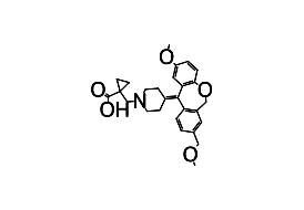 COCc1ccc2c(c1)COc1ccc(OC)cc1C2=C1CCN(CC2(C(=O)O)CC2)CC1